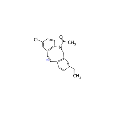 C=Cc1ccc2c(c1)CN(C(C)=O)c1ccc(Cl)cc1/C=C\2